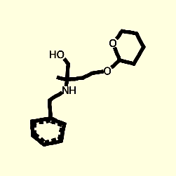 CC(CO)(CCOC1CCCCO1)NCc1ccccc1